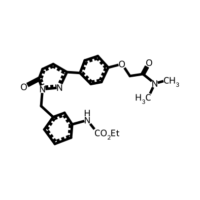 CCOC(=O)Nc1cccc(Cn2nc(-c3ccc(OCC(=O)N(C)C)cc3)ccc2=O)c1